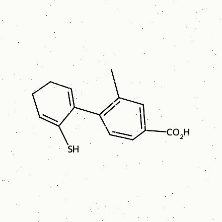 Cc1cc(C(=O)O)ccc1C1=CCCC=C1S